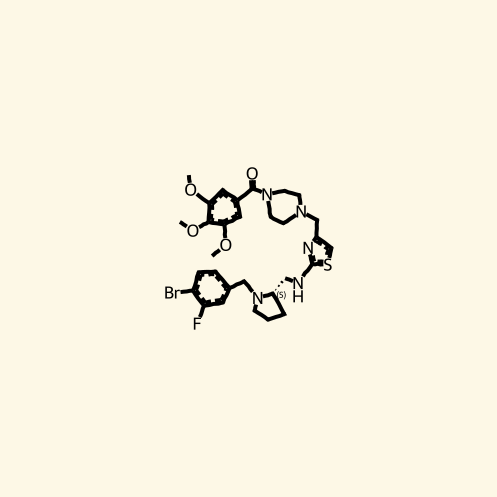 COc1cc(C(=O)N2CCN(Cc3csc(NC[C@@H]4CCCN4Cc4ccc(Br)c(F)c4)n3)CC2)cc(OC)c1OC